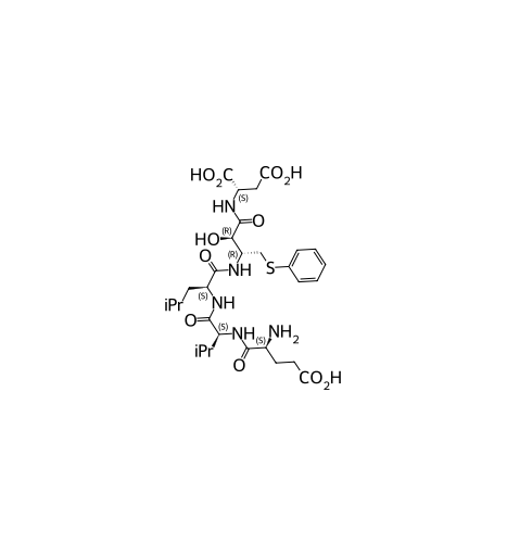 CC(C)C[C@H](NC(=O)[C@@H](NC(=O)[C@@H](N)CCC(=O)O)C(C)C)C(=O)N[C@@H](CSc1ccccc1)[C@@H](O)C(=O)N[C@@H](CC(=O)O)C(=O)O